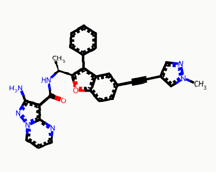 C[C@H](NC(=O)c1c(N)nn2cccnc12)c1oc2ccc(C#Cc3cnn(C)c3)cc2c1-c1ccccc1